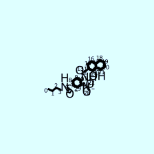 CCCCN[S+]([O-])c1ccc(NC(=O)c2ccc3ccccc3c2O)c([N+](=O)[O-])c1